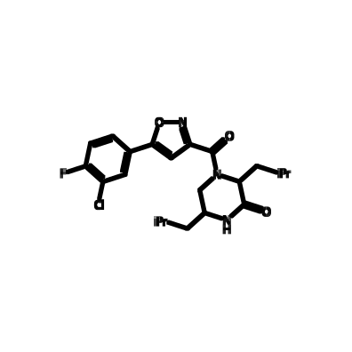 CC(C)CC1CN(C(=O)c2cc(-c3ccc(F)c(Cl)c3)on2)C(CC(C)C)C(=O)N1